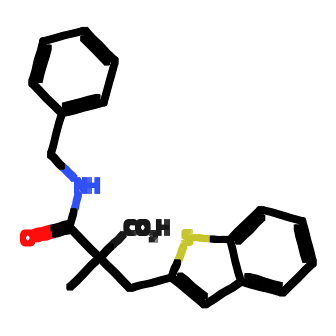 CC(Cc1cc2ccccc2s1)(C(=O)O)C(=O)NCc1ccccc1